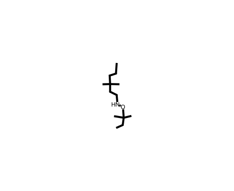 CCCC(C)(C)CCNOC(C)(C)CC